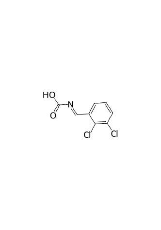 O=C(O)/N=C/c1cccc(Cl)c1Cl